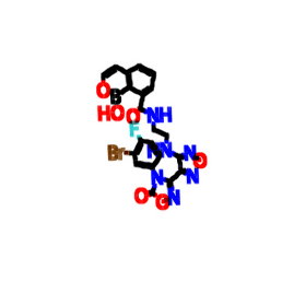 O=C(NCCNc1nonc1-c1noc(=O)n1-c1ccc(F)c(Br)c1)c1cccc2c1B(O)OC=C2